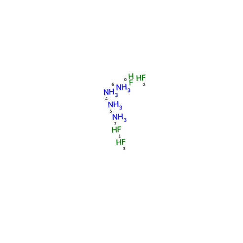 F.F.F.F.N.N.N.N